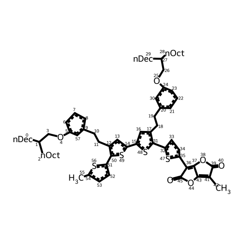 CCCCCCCCCCC(CCCCCCCC)COc1cccc(CCc2cc(-c3cc(CCc4cccc(OCC(CCCCCCCC)CCCCCCCCCC)c4)c(-c4ccc(C5=C6OC(=O)C(C)=C6OC5=O)s4)s3)sc2-c2ccc(C)s2)c1